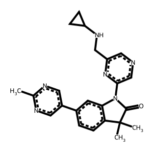 Cc1ncc(-c2ccc3c(c2)N(c2cncc(CNC4CC4)n2)C(=O)C3(C)C)cn1